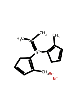 CC1=[C]([Ti+2]([C]2=C(C)C=CC2)=[Si](C)C)CC=C1.[Br-].[Br-]